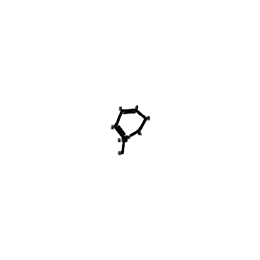 C[N+]1=CC=CCC1